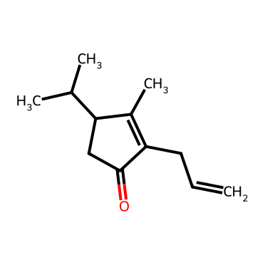 C=CCC1=C(C)C(C(C)C)CC1=O